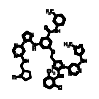 CCN1CCCC1CNc1cc(-n2ccnc2Nc2cc(OCc3cn(-c4cc(Nc5cnn(C)c5)ncn4)c(Nc4c(C)cccc4Cl)n3)cc(C(=O)Nc3cccc(C(F)(F)F)c3)c2)ncn1